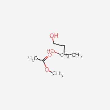 CCCCO.CO.COC(C)=O